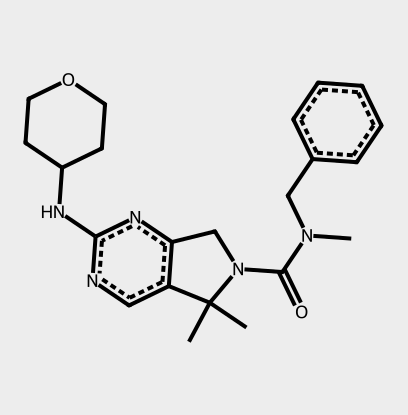 CN(Cc1ccccc1)C(=O)N1Cc2nc(NC3CCOCC3)ncc2C1(C)C